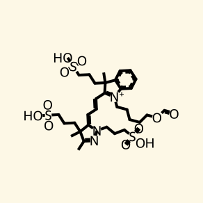 CC1=NN(CCCS(=O)(=O)O)/C(=C\C=C\C2=[N+](CCCCCOC=O)c3ccccc3C2(C)CCCS(=O)(=O)O)C1(C)CCCS(=O)(=O)O